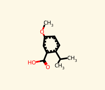 COc1ccc(C(C)C)c(C(=O)O)c1